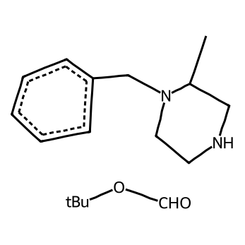 CC(C)(C)OC=O.CC1CNCCN1Cc1ccccc1